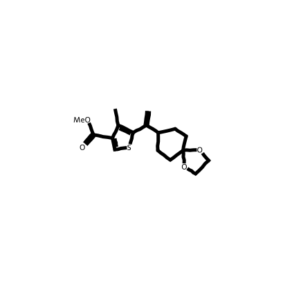 C=C(c1scc(C(=O)OC)c1C)C1CCC2(CC1)OCCO2